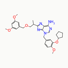 COc1cc(COCC(C)c2nc3c(N)ncn(Cc4ccc(OC)c(OC5CCCC5)c4)c-3n2)cc(OC)c1